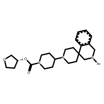 CC(=O)N1Cc2ccccc2C2(CCN(C3CCN(C(=O)O[C@@H]4CCOC4)CC3)CC2)C1